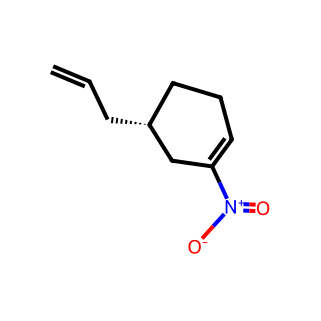 C=CC[C@@H]1CCC=C([N+](=O)[O-])C1